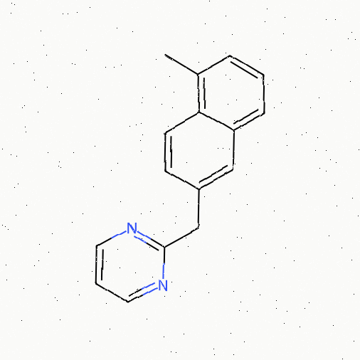 Cc1cccc2cc(Cc3ncccn3)ccc12